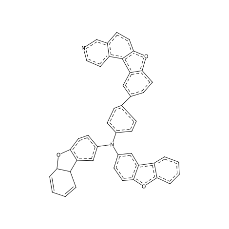 C1=CC2Oc3ccc(N(c4ccc(-c5ccc6oc7ccc8cnccc8c7c6c5)cc4)c4ccc5oc6ccccc6c5c4)cc3C2C=C1